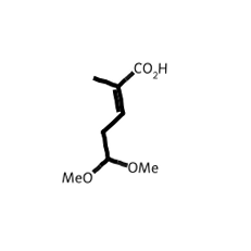 COC(CC=C(C)C(=O)O)OC